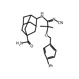 CC(C)c1ccc(COC(C)(C)/C(=N\C#N)NC2C3CC4CC2CC(C(N)=O)(C4)C3)cc1